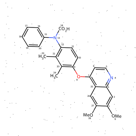 COc1cc2nccc(Oc3ccc(N(C(=O)O)c4ccccc4)c(C)c3C)c2cc1OC